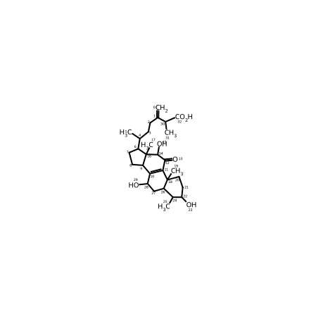 C=C(CCC(C)C1CCC2C3=C(C(=O)C(O)C21C)C1(C)CCC(O)C(C)C1CC3O)C(C)C(=O)O